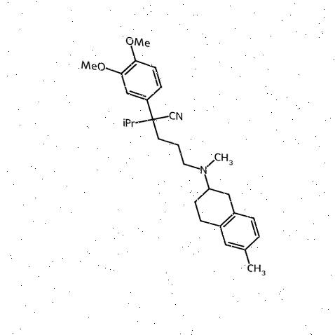 COc1ccc(C(C#N)(CCCN(C)C2CCc3cc(C)ccc3C2)C(C)C)cc1OC